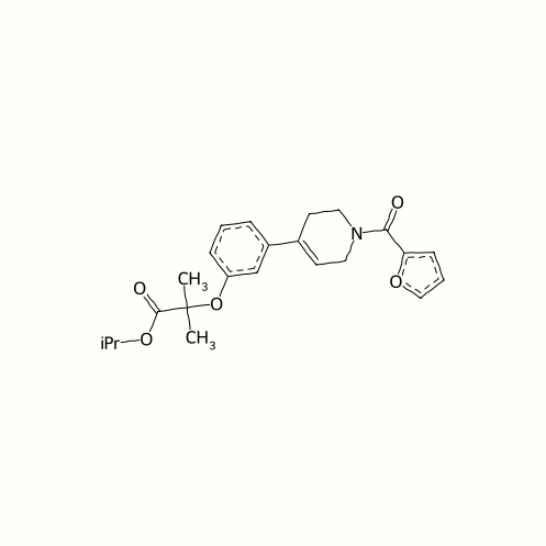 CC(C)OC(=O)C(C)(C)Oc1cccc(C2=CCN(C(=O)c3ccco3)CC2)c1